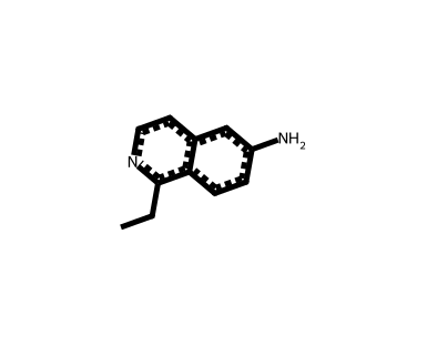 CCc1nccc2cc(N)ccc12